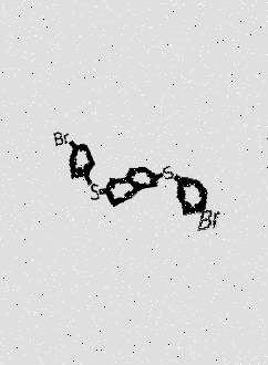 Brc1ccc(Sc2ccc3cc(Sc4ccc(Br)cc4)ccc3c2)cc1